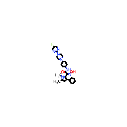 Cc1cc(-c2ccccc2)c(C(=NO)C(=O)Nc2ccc(N3CCN(c4ncc(F)cn4)CC3)cc2)n1C